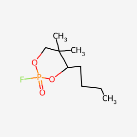 CCCCC1OP(=O)(F)OCC1(C)C